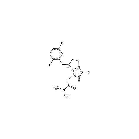 CCCCN(C)C(=O)Cc1[nH]c(=S)n2c1[C@@H](Cc1cc(F)ccc1F)CC2